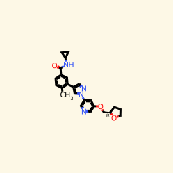 Cc1ccc(C(=O)NC2CC2)cc1-c1cnn(-c2cncc(OC[C@H]3CCCO3)c2)c1